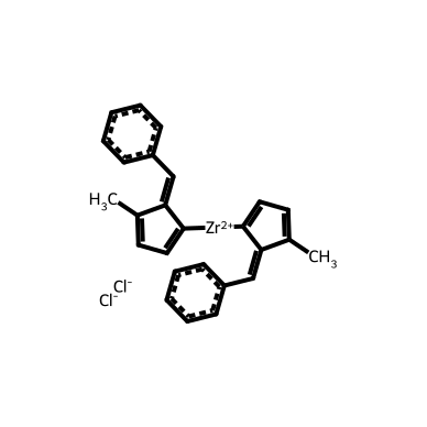 CC1=CC=[C]([Zr+2][C]2=CC=C(C)C2=Cc2ccccc2)C1=Cc1ccccc1.[Cl-].[Cl-]